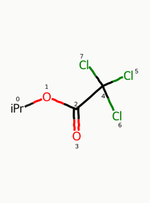 CC(C)OC(=O)C(Cl)(Cl)Cl